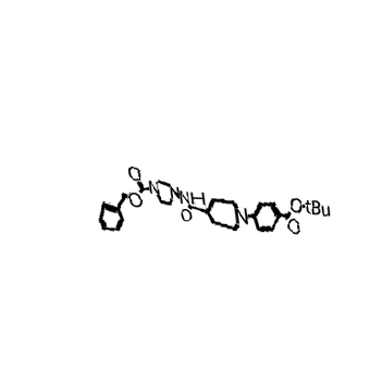 CC(C)(C)OC(=O)c1ccc(N2CCC(C(=O)NN3CCN(C(=O)OCc4ccccc4)CC3)CC2)cc1